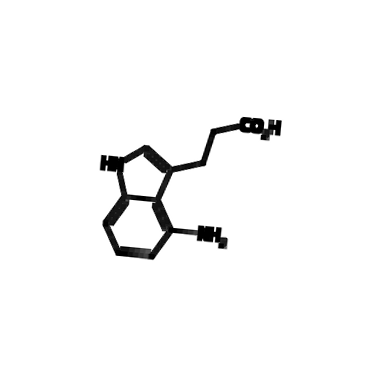 Nc1cccc2[nH]cc(CCC(=O)O)c12